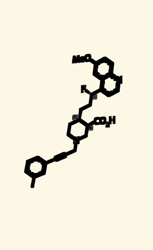 COc1ccc2nccc([C@@H](F)CC[C@@H]3CCN(CC#Cc4cccc(C)c4)C[C@@H]3C(=O)O)c2c1